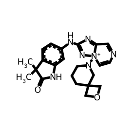 CC1(C)C(=O)Nc2cc(NC3=N[N+]4(N5CCCC6(COC6)C5)C=CN=CC4=N3)ccc21